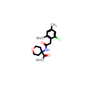 COC(=O)C1(NC(=O)Cc2c(Cl)cc(C)cc2OC)CCOCC1